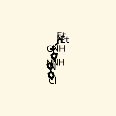 CCN(CC)CCCNC(=O)c1ccc(Nc2nccc(-c3ccc(Cl)cc3)n2)cc1